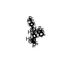 O=C(/N=C(/NCc1ccccc1C(F)(F)F)Nc1cccc(NS(=O)(=O)CC(F)(F)F)n1)c1ccc(C(F)(F)F)cc1